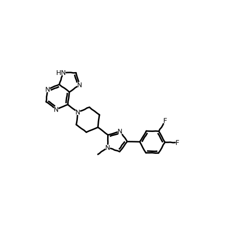 Cn1cc(-c2ccc(F)c(F)c2)nc1C1CCN(c2ncnc3[nH]cnc23)CC1